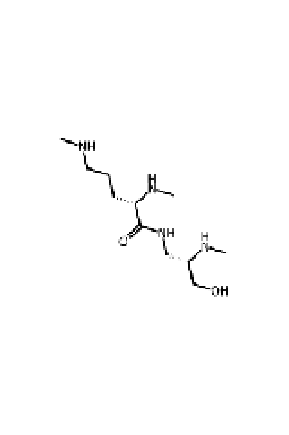 CNCCC[C@H](NC)C(=O)NC[C@@H](CO)NC